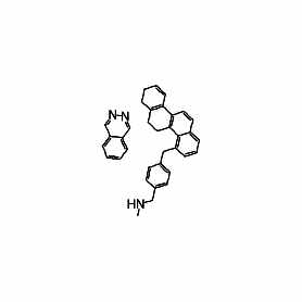 CNCc1ccc(Cc2cccc3ccc4c(c23)CCC2=C4C=CCC2)cc1.c1ccc2cnncc2c1